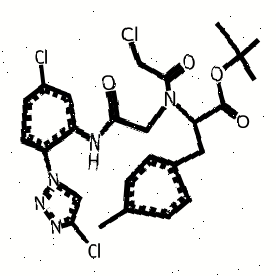 Cc1ccc(CC(C(=O)OC(C)(C)C)N(CC(=O)Nc2cc(Cl)ccc2-n2cc(Cl)nn2)C(=O)CCl)cc1